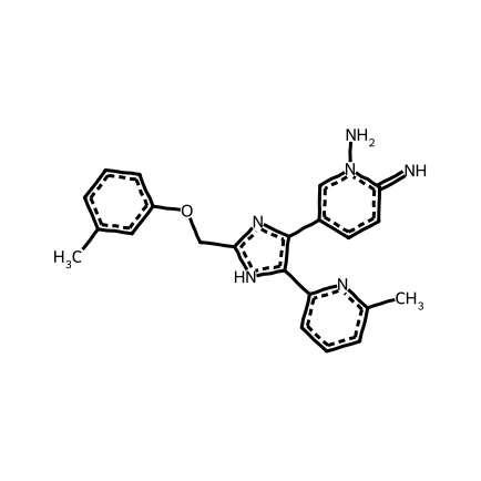 Cc1cccc(OCc2nc(-c3ccc(=N)n(N)c3)c(-c3cccc(C)n3)[nH]2)c1